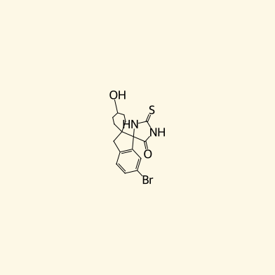 O=C1NC(=S)NC12c1cc(Br)ccc1CC21CCC(O)CC1